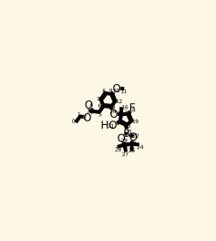 CCOC(=O)Cc1ccc(OC)cc1OC1(C)C(F)=CC(B2OC(C)(C)C(C)(C)O2)=C1O